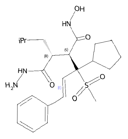 CC(C)C[C@@H](C(=O)NN)[C@@H](C(=O)NO)C(/C=C/c1ccccc1)(C1CCCC1)S(C)(=O)=O